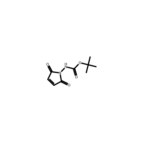 CC(C)(C)OC(=O)NN1C(=O)C=CC1=O